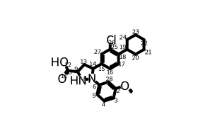 COc1cccc(N2NC(C(=O)O)CC2c2ccc(C3CCCCC3)c(Cl)c2)c1